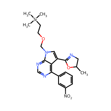 CC1CN=C(c2cn(COCC[Si](C)(C)C)c3ncnc(-c4cccc([N+](=O)[O-])c4)c23)O1